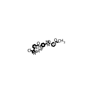 C=CC(=O)N1CCC[C@H](c2nc(-c3ccc(NC(=O)c4cccc(-c5[nH]ncc5Cl)n4)c(F)c3)no2)C1